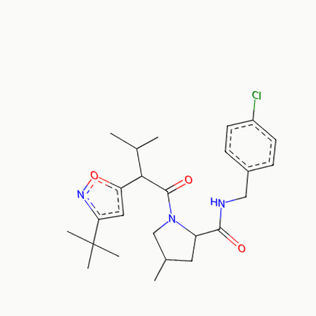 CC1CC(C(=O)NCc2ccc(Cl)cc2)N(C(=O)C(c2cc(C(C)(C)C)no2)C(C)C)C1